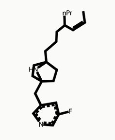 C/C=C\C(CCC)CCCC12CCC(Cc3cncc(F)c3)(CC1)N2